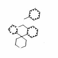 Cl.Cl.O.O.c1ccc(C[C@@H]2c3ccccc3C3(CCNCC3)c3nccn32)cc1